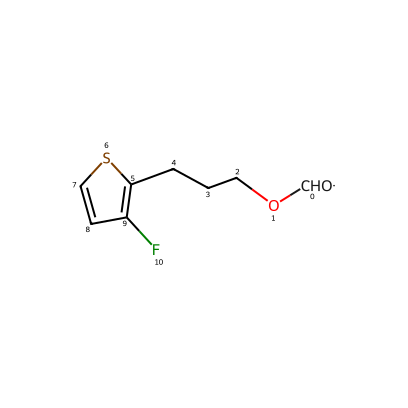 O=[C]OCCCc1sccc1F